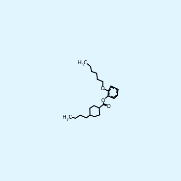 CCCCCCOc1ccccc1OC(=O)C1CCC(CCCC)CC1